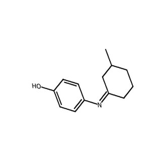 CC1CCCC(=Nc2ccc(O)cc2)C1